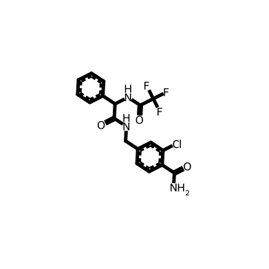 NC(=O)c1ccc(CNC(=O)C(NC(=O)C(F)(F)F)c2ccccc2)cc1Cl